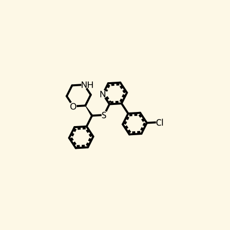 Clc1cccc(-c2cccnc2SC(c2ccccc2)[C@@H]2CNCCO2)c1